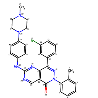 Cc1ccccc1-n1nc(-c2cccc(Br)c2)c2nc(Nc3ccc(N4CCN(C)CC4)cc3)ncc2c1=O